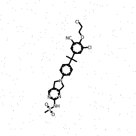 CC(C)(c1ccc(N2Cc3cnc(NS(C)(=O)=O)nc3C2)cc1)c1cc(Cl)c(OCCCl)c(C#N)c1